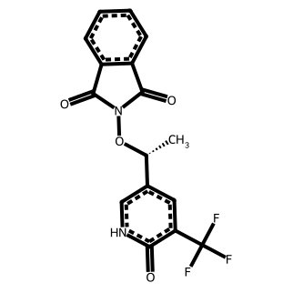 C[C@@H](ON1C(=O)c2ccccc2C1=O)c1c[nH]c(=O)c(C(F)(F)F)c1